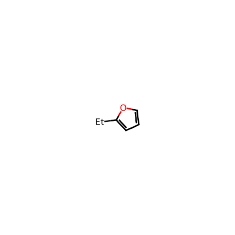 [CH2]Cc1ccco1